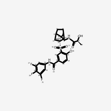 C[C@H](O)C(=O)NC[C@]1(O)C2CCC1C[C@@H](S(=O)(=O)c1cc(C(=O)Nc3cc(F)c(F)c(F)c3)ccc1Cl)C2